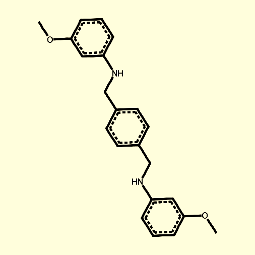 COc1cccc(NCc2ccc(CNc3cccc(OC)c3)cc2)c1